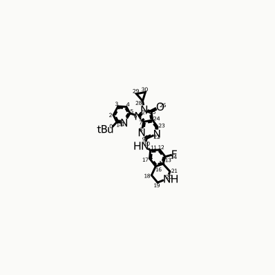 CC(C)(C)c1cccc(-n2c3nc(Nc4cc(F)c5c(c4)CCNC5)ncc3c(=O)n2C2CC2)n1